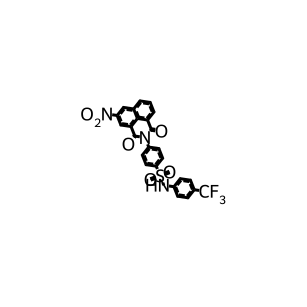 O=C1c2cccc3cc([N+](=O)[O-])cc(c23)C(=O)N1c1ccc(S(=O)(=O)Nc2ccc(C(F)(F)F)cc2)cc1